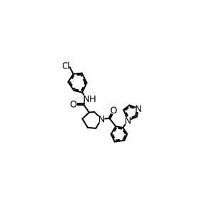 O=C(Nc1ccc(Cl)cc1)C1CCCN(C(=O)c2ccccc2-n2ccnc2)C1